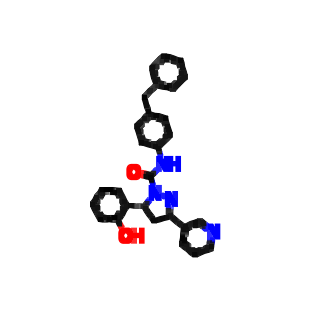 O=C(Nc1ccc(Cc2ccccc2)cc1)N1N=C(c2cccnc2)CC1c1ccccc1O